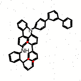 C1=CCC(c2ccccc2Nc2ccc(-c3ccccc3N(c3ccc(-c4ccccc4)cc3)c3ccc(-c4cccc(-c5ccccc5)c4)cc3)cc2)C=C1